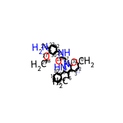 C=C/C=C\C1=C(C=C)C(c2ccccc2)NN(CC(=O)Nc2ccc(N)c(OC=C)c2)C1=O